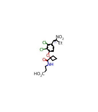 CC/C(=C\c1ccc(OC2(C(=O)NCCC(=O)O)CCC2)c(Cl)c1Cl)[N+](=O)[O-]